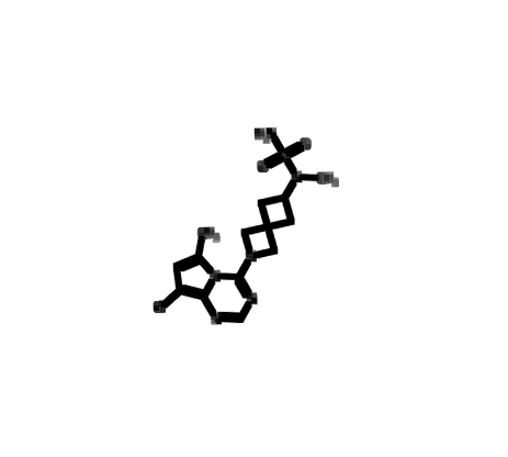 Cc1cc(Cl)c2ncnc(N3CC4(CC(N(C)S(N)(=O)=O)C4)C3)n12